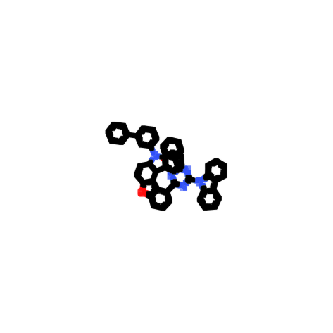 C1=CC2C(c3ccccc3N2c2cccc(-c3ccccc3)c2)c2c1oc1cccc(-c3nc(-c4ccccc4)nc(-n4c5ccccc5c5ccccc54)n3)c21